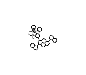 CC12CCCCC1(C)[Si](c1ccccc1)(c1ccccc1)c1ccc(-c3cc(-c4cccc5ccccc45)c4ccc5ccc(-c6cccc7ccccc67)c6ccc3c4c56)cc12